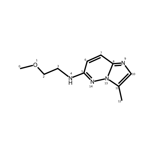 COCCNc1ccc2ncc(C)n2n1